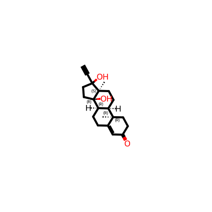 C#CC1(O)CC[C@@]2(O)[C@@H]3CCC4=CC(=O)CC[C@]4(C)[C@@H]3CC[C@]12C